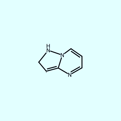 [C]1=C2N=CC=CN2NC1